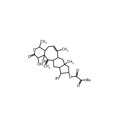 C=C1C2CC3C(C(C)C)C(OC(=O)C(=O)CCCC)CC3(C)CC2C(C)=CCC2C(C)OC(=O)C(O)C12O